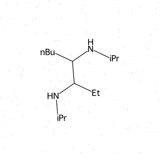 CCCCC(NC(C)C)C(CC)NC(C)C